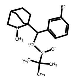 CN1CC2CCC1(C(N[S+]([O-])C(C)(C)C)c1cccc(Br)c1)CC2